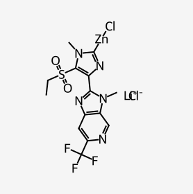 CCS(=O)(=O)c1c(-c2nc3cc(C(F)(F)F)ncc3n2C)n[c]([Zn][Cl])n1C.[Cl-].[Li+]